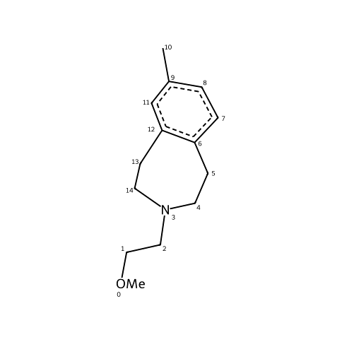 COCCN1CCc2ccc(C)cc2CC1